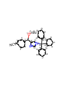 CCCCOC(c1ccc(C#N)cc1)c1cn(C(c2ccccc2)(c2ccccc2)c2ccccc2)cn1